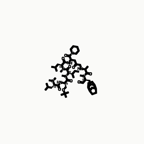 CCC(C)[C@@H](C(=O)N(C)[C@@H](CC(C)C)C(=O)NC(CC(=O)CNC(C)C(=O)N(C)[C@H](C=O)CC1C2=C3CCC(=C1CC2)C3)C(=O)N1CCCCC1)N(C)C(=O)[C@H](COC(C)(C)C)NC(=O)[C@H](CC(C)C)N(C)C